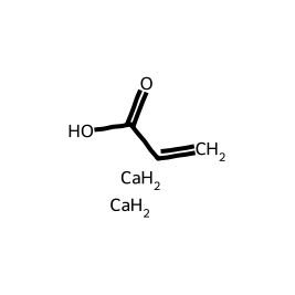 C=CC(=O)O.[CaH2].[CaH2]